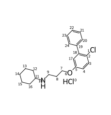 Cl.Clc1ccc(OCCCNC2CCCCC2)cc1-c1ccccc1